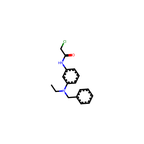 CCN(Cc1ccccc1)c1cccc(NC(=O)CCl)c1